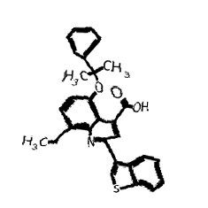 CCc1ccc(OC(C)(C)c2ccccc2)c2c(C(=O)O)cc(-c3csc4ccccc34)nc12